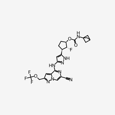 N#Cc1cn2nc(COC(F)(F)F)cc2c(Nc2cc([C@H]3CC[C@@H](OC(=O)NC45CC(C4)C5)[C@@H]3F)[nH]n2)n1